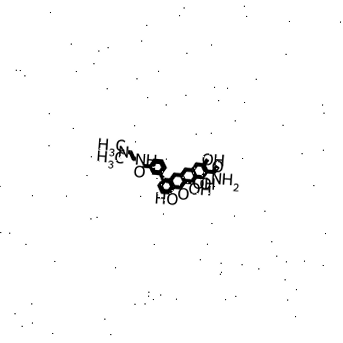 CN(C)CCNC(=O)c1cccc(-c2ccc(O)c3c2CC2CC4CC(O)=C(C(N)=O)C(=O)C4(O)C(O)=C2C3=O)c1